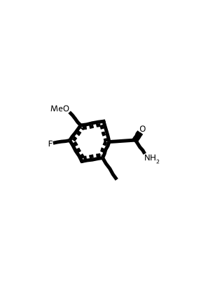 COc1cc(C(N)=O)c(C)cc1F